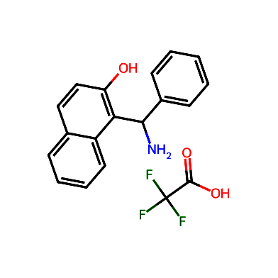 NC(c1ccccc1)c1c(O)ccc2ccccc12.O=C(O)C(F)(F)F